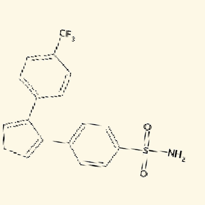 NS(=O)(=O)c1ccc(C2=CCC=C2c2ccc(C(F)(F)F)cc2)cc1